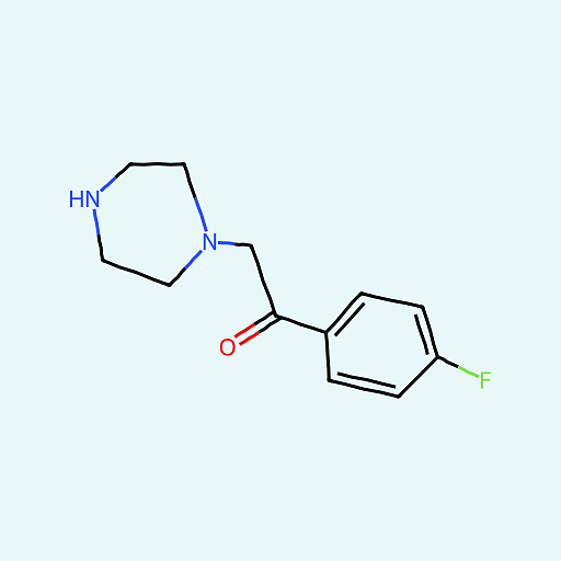 O=C(CN1CCNCC1)c1ccc(F)cc1